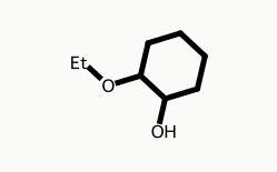 CCOC1CCCCC1O